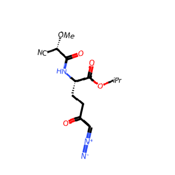 CO[C@@H](C#N)C(=O)N[C@@H](CCC(=O)C=[N+]=[N-])C(=O)OC(C)C